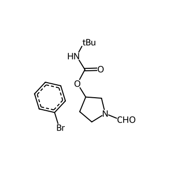 Brc1ccccc1.CC(C)(C)NC(=O)OC1CCN(C=O)C1